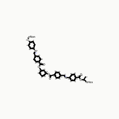 CCCCCCCCCOc1ccc(/N=C/c2ccc(C(=O)Oc3cccc(OC(=O)c4ccc(/C=N/c5ccc(C(=O)OC(C)CCCCCC)cc5)cc4)c3)cc2)cc1